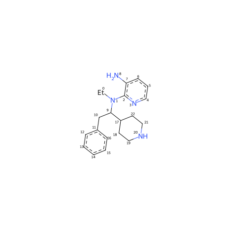 CCN(c1ncccc1N)C(Cc1ccccc1)C1CCNCC1